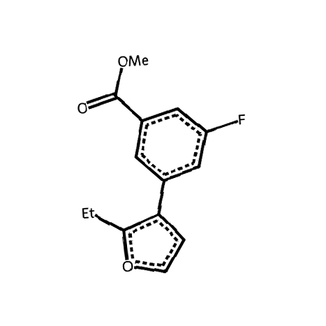 CCc1occc1-c1cc(F)cc(C(=O)OC)c1